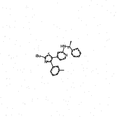 CCC(C)c1nc(-c2cccc(C)c2)c(-c2ccnc(N[C@@H](C)c3ccccc3)c2)s1